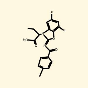 CCC(C(=O)O)n1c(=NC(=O)c2ccc(C)cc2)sc2c(F)cc(F)cc21